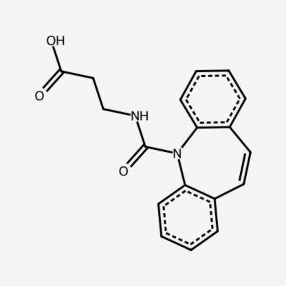 O=C(O)CCNC(=O)N1c2ccccc2C=Cc2ccccc21